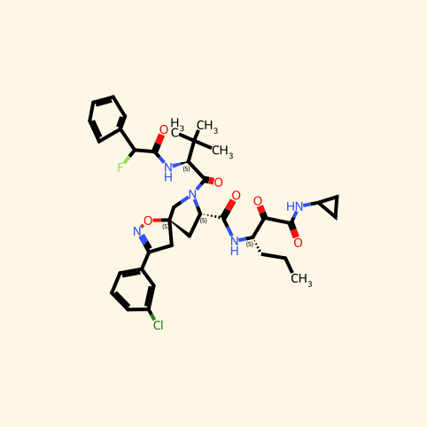 CCC[C@H](NC(=O)[C@@H]1C[C@]2(CC(c3cccc(Cl)c3)=NO2)CN1C(=O)[C@@H](NC(=O)C(F)c1ccccc1)C(C)(C)C)C(=O)C(=O)NC1CC1